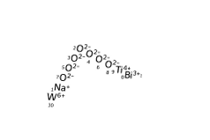 [Bi+3].[Na+].[O-2].[O-2].[O-2].[O-2].[O-2].[O-2].[O-2].[Ti+4].[W+6]